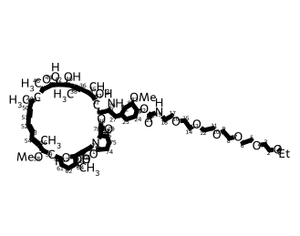 CCOCCOCCOCCOCCOCCOCCNC(=O)O[C@@H]1CCC(C[C@@H](N)[C@@H]2C[C@@H](O)C(C)/C=C(\C)[C@@H](O)[C@@H](O)C(=O)[C@H](C)C[C@H](C)/C=C/C=C/C=C(\C)[C@@H](OC)C[C@@H]3CC[C@@H](C)[C@@](O)(O3)C(=O)C(=O)N3CCCC[C@H]3C(=O)O2)C[C@H]1OC